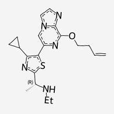 C=CCCOc1nc(-c2sc([C@@H](C)NCC)nc2C2CC2)cn2ccnc12